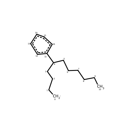 [CH2]CCCC(CCCCCC)c1ccccc1